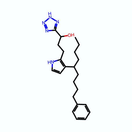 CCCCC(CCCCc1ccccc1)c1cc[nH]c1CCC(O)c1nn[nH]n1